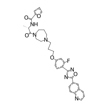 C[C@H](NC(=O)c1ccco1)C(=O)N1CCCN(CCCOc2ccc(-c3noc(-c4ccc5ncccc5c4)n3)c(F)c2)CC1